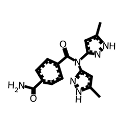 Cc1cc(N(C(=O)c2ccc(C(N)=O)cc2)c2cc(C)[nH]n2)n[nH]1